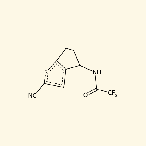 N#Cc1cc2c(s1)CCC2NC(=O)C(F)(F)F